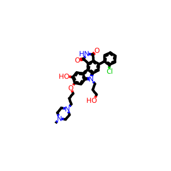 CN1CCN(CCCOc2cc3c(cc2O)c2c4c(c(-c5ccccc5Cl)cc2n3CCCO)C(=O)NC4=O)CC1